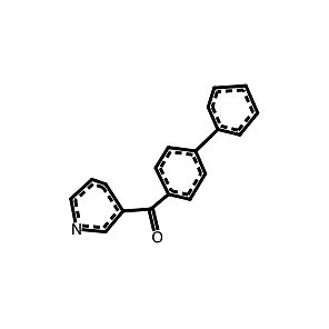 O=C(c1ccc(-c2ccccc2)cc1)c1cccnc1